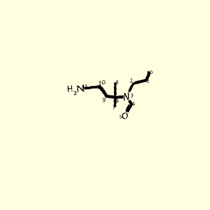 CCCN(C=O)C(C)(C)CCN